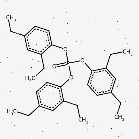 CCc1ccc(OP(=O)(Oc2ccc(CC)cc2CC)Oc2ccc(CC)cc2CC)c(CC)c1